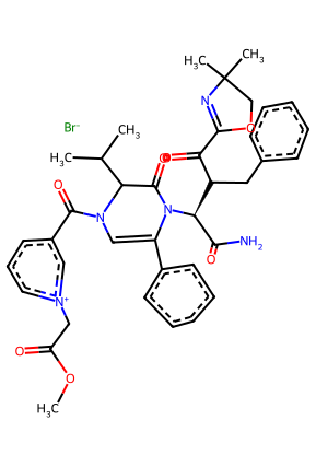 COC(=O)C[n+]1cccc(C(=O)N2C=C(c3ccccc3)N([C@H](C(N)=O)C(Cc3ccccc3)C(=O)C3=NC(C)(C)CO3)C(=O)C2C(C)C)c1.[Br-]